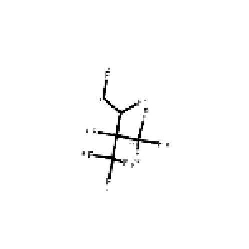 FCC(F)C(F)(C(F)(F)F)C(F)(F)F